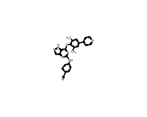 Cc1cc(-c2ccncc2)cc(C)c1Oc1nc(Nc2ccc(C#N)cc2)nc2cn[nH]c12